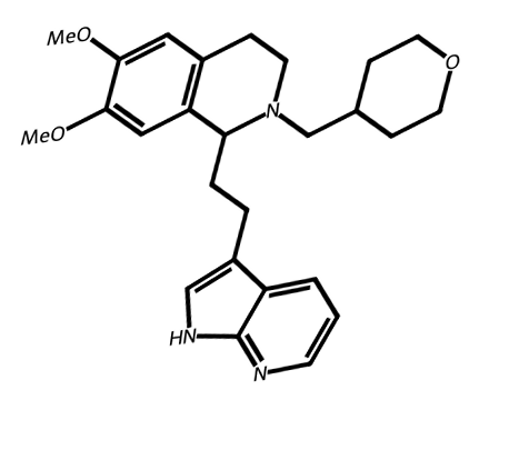 COc1cc2c(cc1OC)C(CCc1c[nH]c3ncccc13)N(CC1CCOCC1)CC2